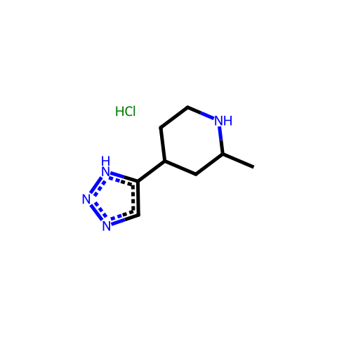 CC1CC(c2cnn[nH]2)CCN1.Cl